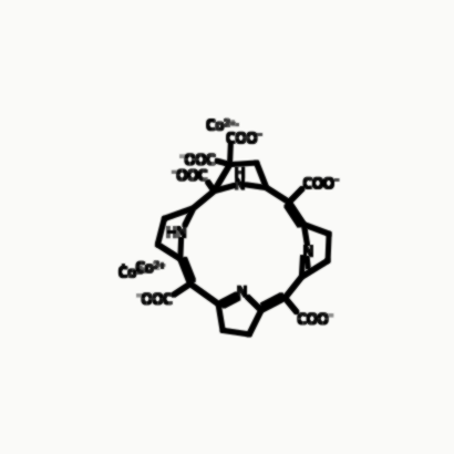 O=C([O-])C1=C2CCC(=N2)C(C(=O)[O-])=C2CCC(N2)C2(C(=O)[O-])NC(CC2(C(=O)[O-])C(=O)[O-])C(C(=O)[O-])=C2CCC1=N2.[Co+2].[Co+2].[Co+2]